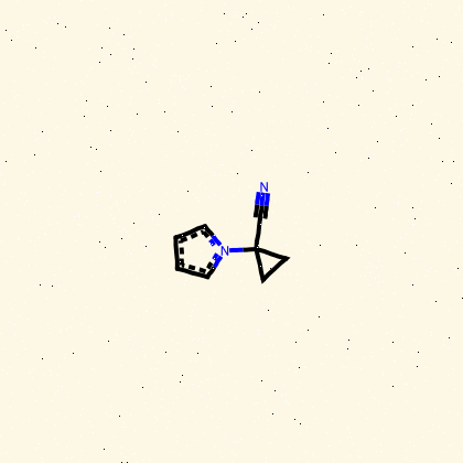 N#CC1(n2cccc2)CC1